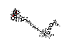 Cc1ncsc1-c1ccc(CNC(=O)[C@@H]2C[C@@H](O)CN2C(=O)[C@@H](NC(=O)CCOCCOCCOCCNCC(=O)c2ccc(NC(=O)[C@@H]3NC4(CCCCC4)[C@@]4(C(=O)Nc5cc(Cl)ccc54)[C@H]3c3cccc(Cl)c3F)cc2)C(C)(C)C)cc1